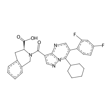 O=C(O)[C@@H]1Cc2ccccc2CN1C(=O)c1cnn2c(C3CCCCC3)c(-c3ccc(F)cc3F)cnc12